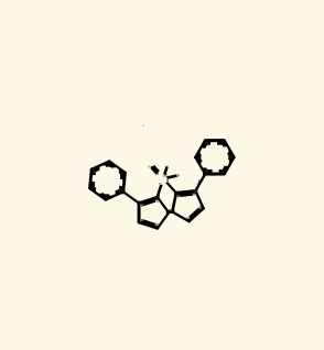 Cl.Cl.[CH3][Zr]([CH3])(=[SiH2])([C]1=C(c2ccccc2)C=CC1)[C]1=C(c2ccccc2)C=CC1